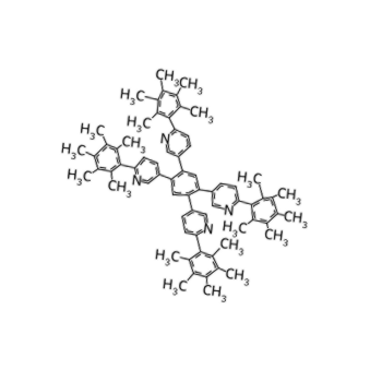 Cc1c(C)c(C)c(-c2ccc(-c3cc(-c4ccc(-c5c(C)c(C)c(C)c(C)c5C)nc4)c(-c4ccc(-c5c(C)c(C)c(C)c(C)c5C)nc4)cc3-c3ccc(-c4c(C)c(C)c(C)c(C)c4C)nc3)cn2)c(C)c1C